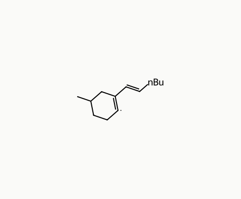 CCCCC=CC1=[C]CCC(C)C1